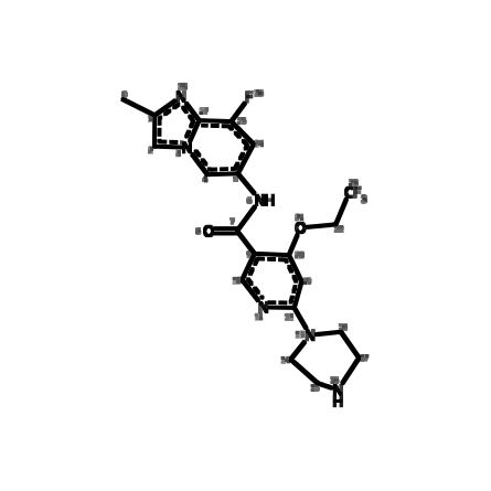 Cc1cn2cc(NC(=O)c3cnc(N4CCNCC4)cc3OCC(F)(F)F)cc(F)c2n1